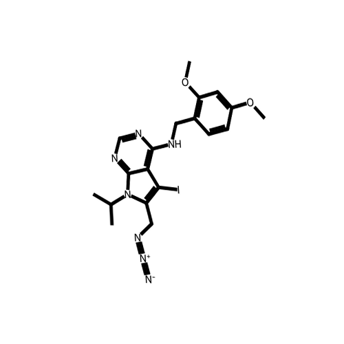 COc1ccc(CNc2ncnc3c2c(I)c(CN=[N+]=[N-])n3C(C)C)c(OC)c1